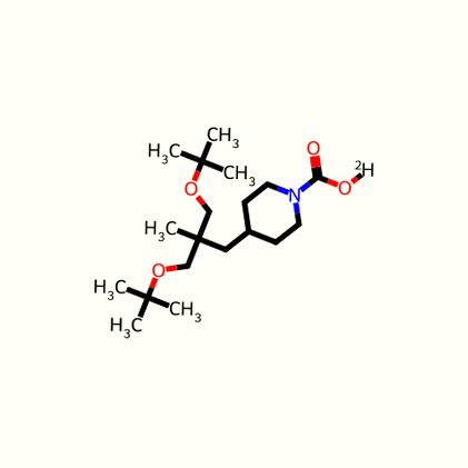 [2H]OC(=O)N1CCC(CC(C)(COC(C)(C)C)COC(C)(C)C)CC1